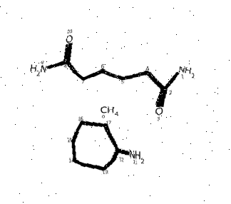 C.NC(=O)CCCCC(N)=O.NC1CCCCC1